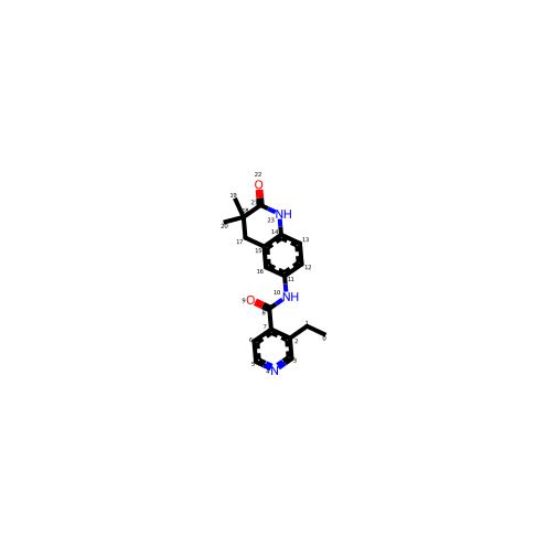 CCc1cnccc1C(=O)Nc1ccc2c(c1)CC(C)(C)C(=O)N2